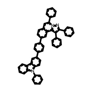 c1ccc(-c2nn3c(-c4ccccc4)cc4ccc(-c5ccc(-c6ccc7c(c6)c6ccccc6n7-c6ccccc6)cc5)cc4c3c2-c2ccccc2)cc1